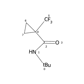 CC(C)(C)NC(=O)C1(C(F)(F)F)CC1